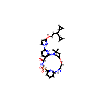 CC1(C)CC2CN1c1nc(-n3ccc(OCCC(C4CC4)C4CC4)n3)ccc1C(=O)NS(=O)(=O)c1cccc(n1)NCCO2